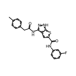 Cc1ccc(CC(=O)Nc2n[nH]c3sc(C(=O)Nc4cccc(F)c4)cc23)cc1